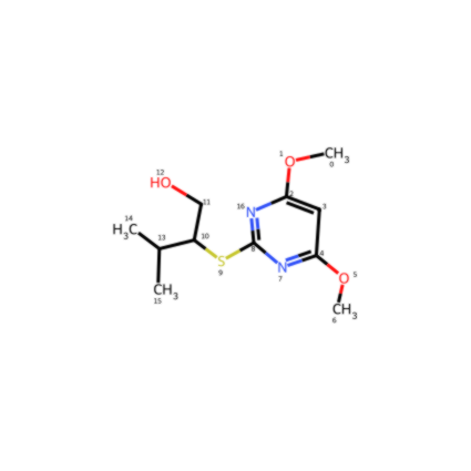 COc1cc(OC)nc(SC(CO)C(C)C)n1